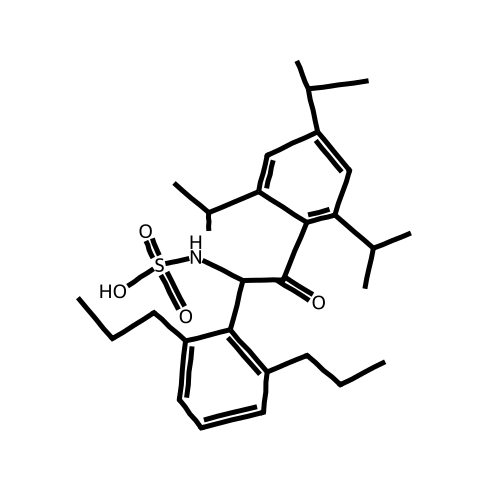 CCCc1cccc(CCC)c1C(NS(=O)(=O)O)C(=O)c1c(C(C)C)cc(C(C)C)cc1C(C)C